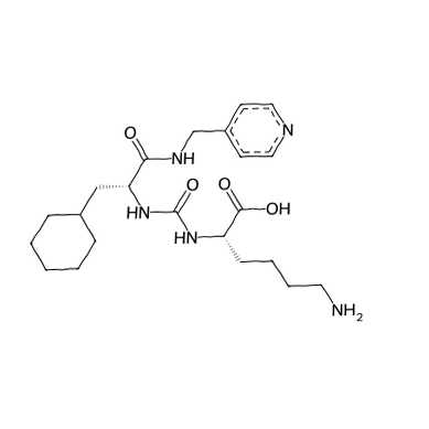 NCCCC[C@H](NC(=O)N[C@H](CC1CCCCC1)C(=O)NCc1ccncc1)C(=O)O